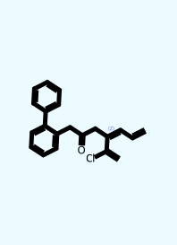 C=C/C=C(/CC(=O)Cc1ccccc1-c1ccccc1)C(=C)Cl